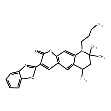 CCCCN1c2cc3oc(=O)c(-c4nc5ccccc5o4)cc3cc2C(C)CC1(C)C